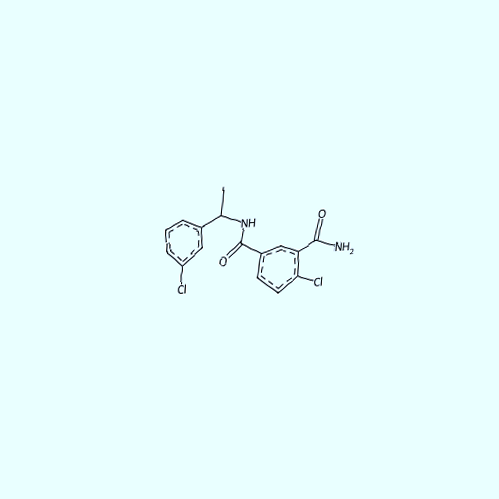 CC(NC(=O)c1ccc(Cl)c(C(N)=O)c1)c1cccc(Cl)c1